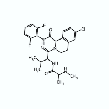 CNC(C)C(=O)NC(C(=O)N1CCc2cc(Cl)ccc2C1C(=O)Nc1c(F)cccc1F)C(C)C